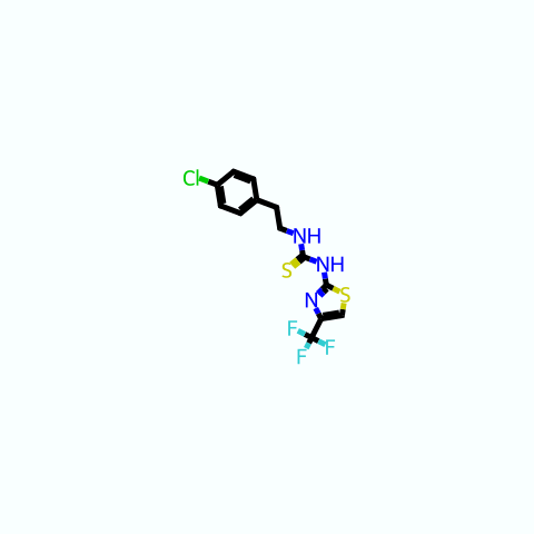 FC(F)(F)c1csc(NC(=S)NCCc2ccc(Cl)cc2)n1